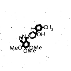 COc1cc2c(N3CCC(O)(c4cc(C)ccc4F)CC3)nncc2c(OC)c1OC